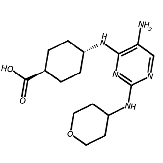 Nc1cnc(NC2CCOCC2)nc1N[C@H]1CC[C@H](C(=O)O)CC1